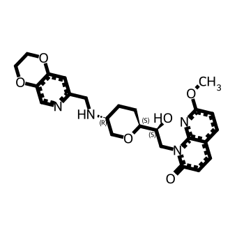 COc1ccc2ccc(=O)n(C[C@H](O)[C@@H]3CC[C@@H](NCc4cc5c(cn4)OCCO5)CO3)c2n1